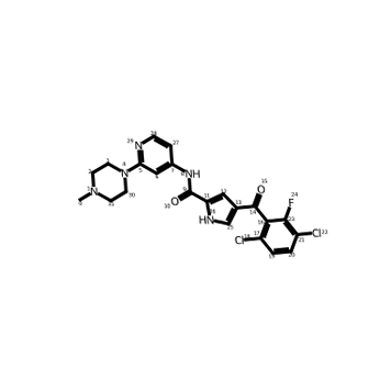 CN1CCN(c2cc(NC(=O)c3cc(C(=O)c4c(Cl)ccc(Cl)c4F)c[nH]3)ccn2)CC1